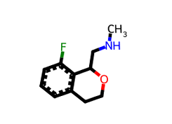 CNCC1OCCc2cccc(F)c21